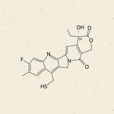 CC[C@@]1(O)C(=O)OCc2c1cc1n(c2=O)Cc2c-1nc1cc(F)c(C)cc1c2CS